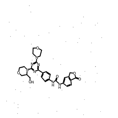 O=C(Nc1ccc(-c2nc(N3CCOCC3)nc(N3CCOCC3CO)n2)cc1)Nc1ccc2c(c1)COC2=O